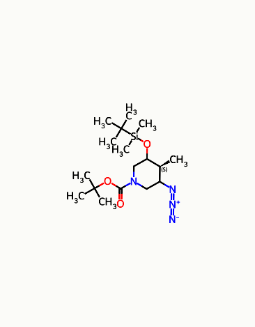 C[C@H]1C(N=[N+]=[N-])CN(C(=O)OC(C)(C)C)CC1O[Si](C)(C)C(C)(C)C